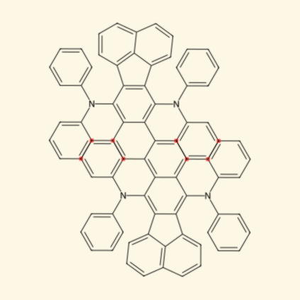 c1ccc(N(c2ccccc2)c2c3c(c(N(c4ccccc4)c4ccccc4)c4c2ccc2c4ccc4c(N(c5ccccc5)c5ccccc5)c5c(c(N(c6ccccc6)c6ccccc6)c42)-c2cccc4cccc-5c24)-c2cccc4cccc-3c24)cc1